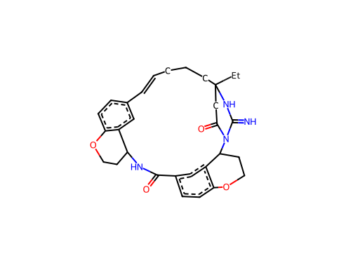 CCC12CCC/C=C/c3ccc4c(c3)C(CCO4)NC(=O)c3ccc4c(c3)C(CCO4)N(C(=N)N1)C(=O)C2